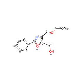 COCOCc1nc(-c2ccccc2)oc1CO